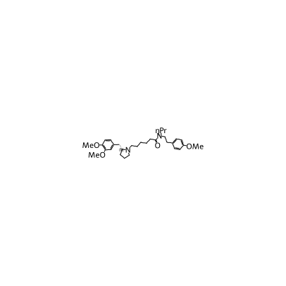 CCCN(CCc1ccc(OC)cc1)C(=O)CCCCCN1CCC[C@@H]1Cc1ccc(OC)c(OC)c1